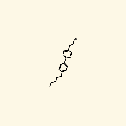 N#CCCc1cnc(-c2ccc(CCCCF)cc2)nc1